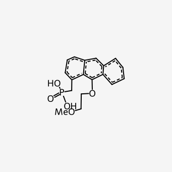 COCCOc1c2ccccc2cc2cccc(CP(=O)(O)O)c12